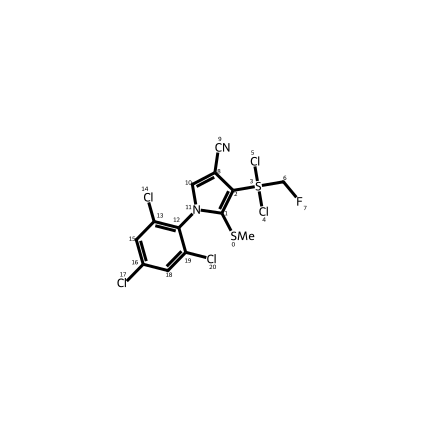 CSc1c(S(Cl)(Cl)CF)c(C#N)cn1-c1c(Cl)cc(Cl)cc1Cl